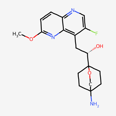 COc1ccc2ncc(F)c(C[C@H](O)C34CCC(N)(CC3)CO4)c2n1